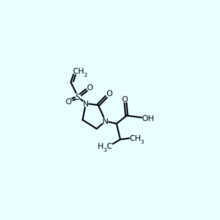 C=CS(=O)(=O)N1CCN(C(C(=O)O)C(C)C)C1=O